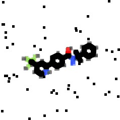 CC(C)(NC(=O)c1ccc(-c2cc(C(F)(F)F)ccn2)cc1)c1ccccc1